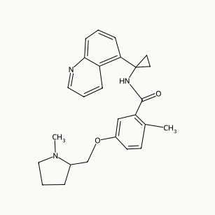 Cc1ccc(OCC2CCCN2C)cc1C(=O)NC1(c2cccc3ncccc23)CC1